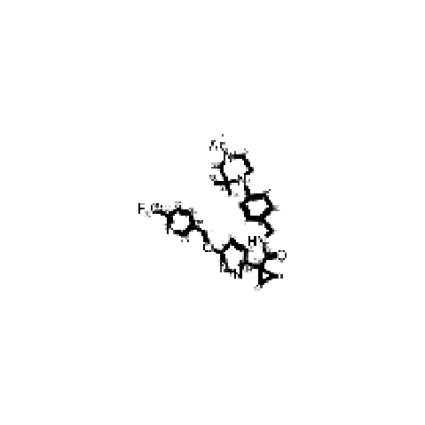 CC(=O)N1CCN(c2ccc(CNC(=O)C3(c4ccc(OCc5ccc(C(F)(F)F)nc5)nn4)CC3)cc2)C(C)(C)C1